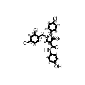 O=C(Nc1ccc(O)cc1)c1cn(Cc2ccc(Cl)cc2Cl)n(-c2ccc(Cl)cc2)c1=O